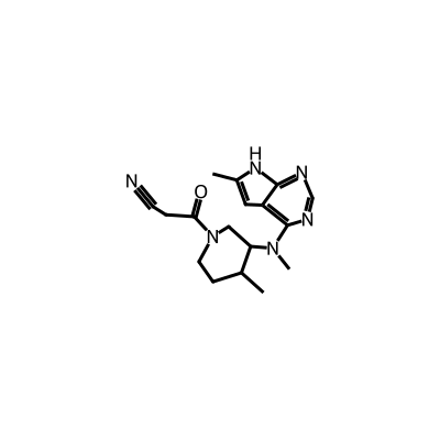 Cc1cc2c(N(C)C3CN(C(=O)CC#N)CCC3C)ncnc2[nH]1